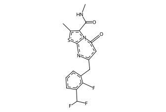 CNC(=O)c1c(C)sc2nc(Cc3cccc(C(F)F)c3F)cc(=O)n12